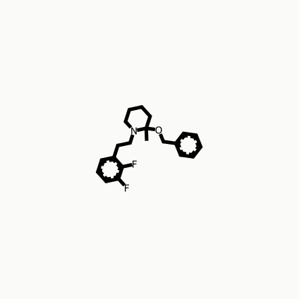 CC1(OCc2ccccc2)CCCCN1CCc1cccc(F)c1F